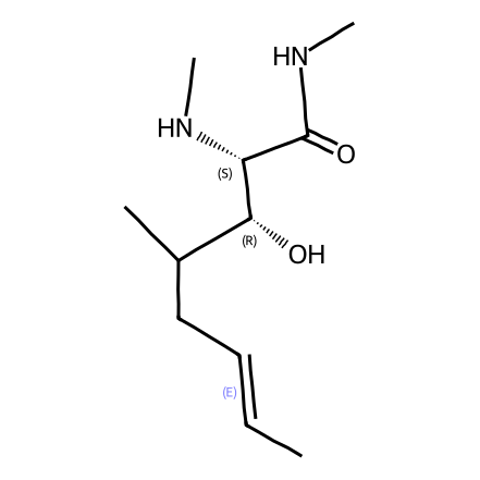 C/C=C/CC(C)[C@@H](O)[C@H](NC)C(=O)NC